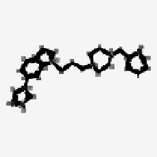 c1ccc(CN2CCN(CCCn3ccc4ccc(-n5cnnc5)cc43)CC2)nc1